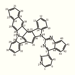 c1cncc(-c2nc(-n3c4ccccc4c4c5c6cc7ccccc7cc6n6c7ccccc7c(cc43)c56)nc3ccccc23)c1